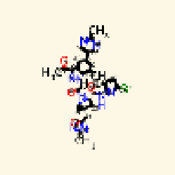 CC(=O)c1nn(CC(=O)N2C3C[C@]3(Cc3nc(C)no3)C[C@H]2C(=O)Nc2nc(Br)ccc2C)c2c(C)cc(-c3cnc(C)nc3)cc12